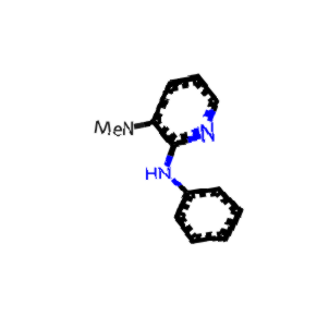 CNc1cccnc1Nc1ccccc1